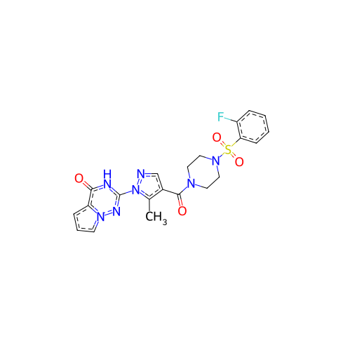 Cc1c(C(=O)N2CCN(S(=O)(=O)c3ccccc3F)CC2)cnn1-c1nn2cccc2c(=O)[nH]1